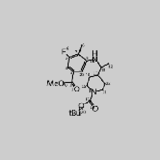 COC(=O)c1cc(F)c(C)c(NC(C)C2CCN(C(=O)OC(C)(C)C)CC2)c1